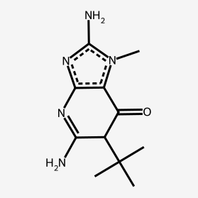 Cn1c(N)nc2c1C(=O)C(C(C)(C)C)C(N)=N2